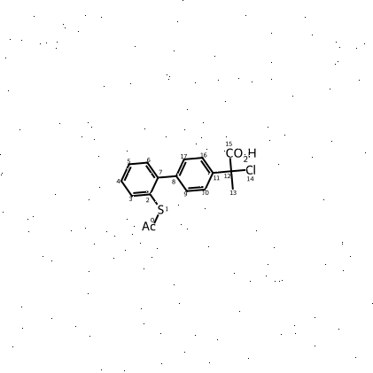 CC(=O)Sc1ccccc1-c1ccc(C(C)(Cl)C(=O)O)cc1